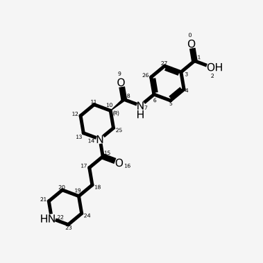 O=C(O)c1ccc(NC(=O)[C@@H]2CCCN(C(=O)CCC3CCNCC3)C2)cc1